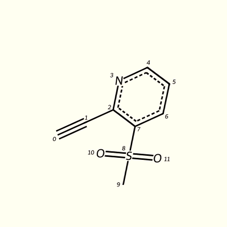 C#Cc1ncccc1S(C)(=O)=O